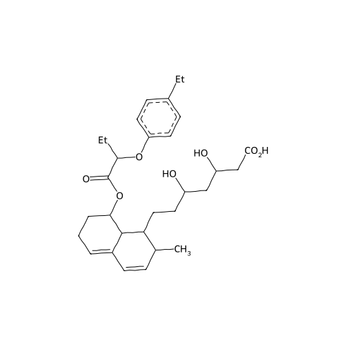 CCc1ccc(OC(CC)C(=O)OC2CCC=C3C=CC(C)C(CCC(O)CC(O)CC(=O)O)C32)cc1